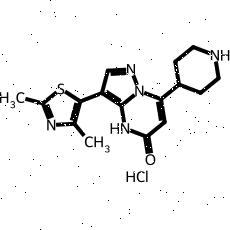 Cc1nc(C)c(-c2cnn3c(C4CCNCC4)cc(=O)[nH]c23)s1.Cl